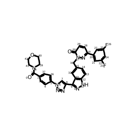 O=C(c1ccc(-n2cc(-c3n[nH]c4ccc(Cn5nc(-c6cc(F)cc(F)c6)ccc5=O)cc34)nn2)cc1)N1CCOCC1